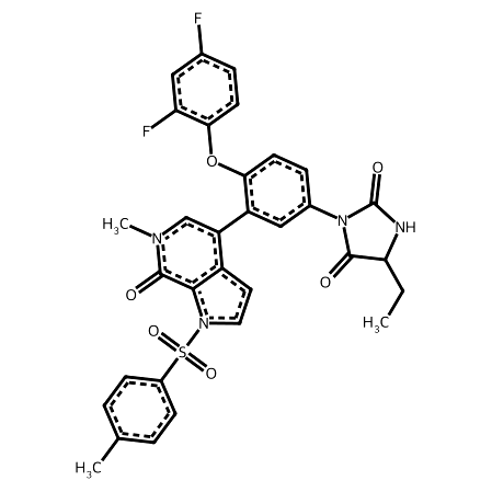 CCC1NC(=O)N(c2ccc(Oc3ccc(F)cc3F)c(-c3cn(C)c(=O)c4c3ccn4S(=O)(=O)c3ccc(C)cc3)c2)C1=O